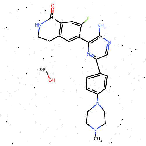 CN1CCN(c2ccc(-c3cnc(N)c(-c4cc5c(cc4F)C(=O)NCC5)n3)cc2)CC1.O=CO